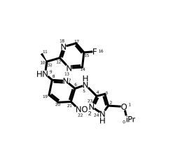 CC(C)Oc1cc(Nc2nc(N[C@@H](C)c3ncc(F)cn3)ccc2[N+](=O)[O-])n[nH]1